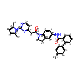 CCc1ccc(-c2ccccc2C(=O)Nc2ccc3c(c2)CCN3C(=O)Cc2ccnc(-n3c(C)ccc3C)n2)cc1